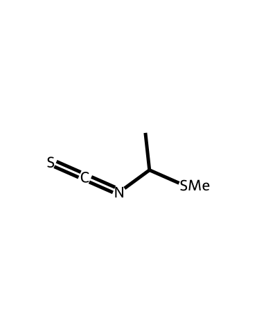 CSC(C)N=C=S